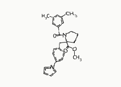 COC(=O)C1(Cc2ccc(-n3cccc3)cc2)CCCN1C(=O)c1cc(C)cc(C)c1